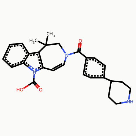 CC1(C)CN(C(=O)c2ccc(C3CCNCC3)cc2)C=Cc2c1c1ccccc1n2C(=O)O